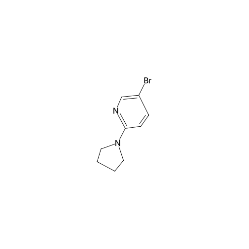 Brc1ccc(N2CCCC2)nc1